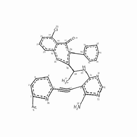 CC(=O)c1cccc(C#Cc2c(N)ncnc2NC(C)c2nc3cccc(Cl)c3c(=O)n2-c2ccccc2)n1